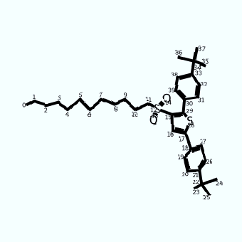 CCCCCCCCCCCCS(=O)(=O)c1cc(-c2ccc(C(C)(C)C)cc2)sc1-c1ccc(C(C)(C)C)cc1